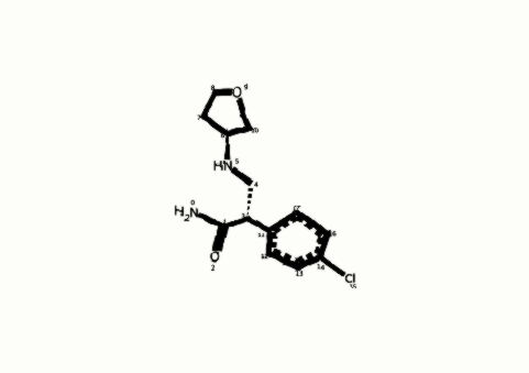 NC(=O)[C@H](CN[C@H]1CCOC1)c1ccc(Cl)cc1